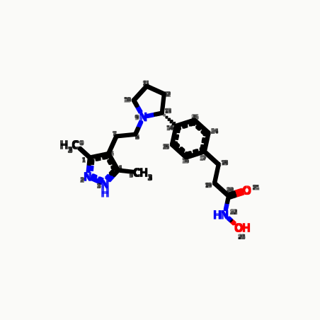 Cc1n[nH]c(C)c1CCN1CCC[C@@H]1c1ccc(CCC(=O)NO)cc1